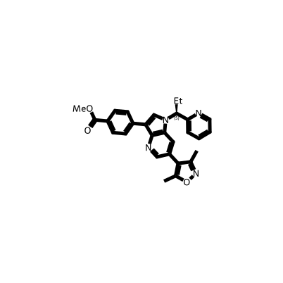 CC[C@@H](c1ccccn1)n1cc(-c2ccc(C(=O)OC)cc2)c2ncc(-c3c(C)noc3C)cc21